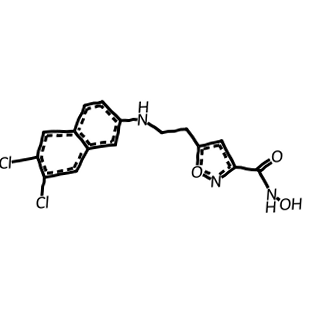 O=C(NO)c1cc(CCNc2ccc3cc(Cl)c(Cl)cc3c2)on1